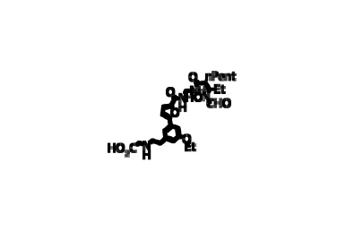 CCCCC[C@@H](C(=O)NCNC(=O)c1ccc(-c2cc(CCNCC(=O)O)cc(OCC)c2)o1)[C@@H](CC)N(O)C=O